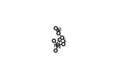 c1ccc(-c2nc(-c3ccccc3)nc(-c3cccc4c3-c3cccc5c(-c6ccc7c(c6)oc6ccccc67)ccc(c35)S4)n2)cc1